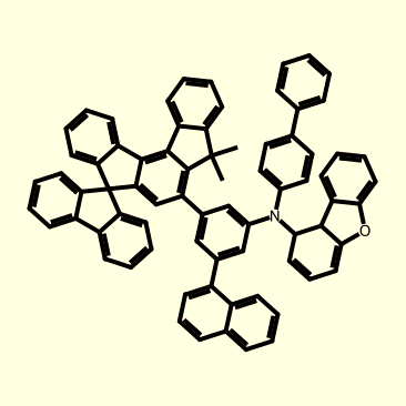 CC1(C)c2ccccc2-c2c3c(cc(-c4cc(-c5cccc6ccccc56)cc(N(c5ccc(-c6ccccc6)cc5)C5C=CC=C6Oc7ccccc7C65)c4)c21)C1(c2ccccc2-c2ccccc21)c1ccccc1-3